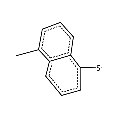 Cc1cccc2c([S])cccc12